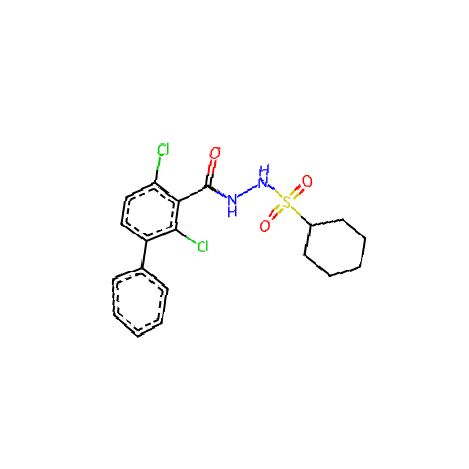 O=C(NNS(=O)(=O)C1CCCCC1)c1c(Cl)ccc(-c2ccccc2)c1Cl